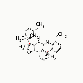 CCc1cccc(CC)c1/N=C1/C(=N/c2c(CC)cccc2CC)c2c(C(C)C)coc2-c2ccccc21